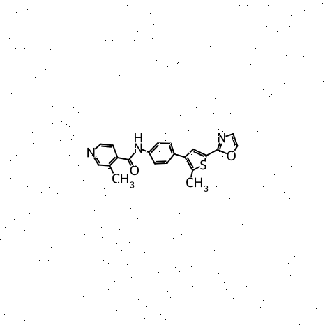 Cc1cnccc1C(=O)Nc1ccc(-c2cc(-c3ncco3)sc2C)cc1